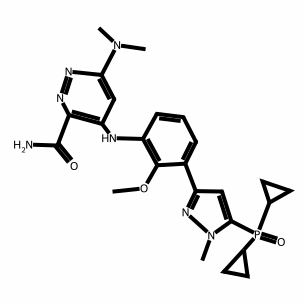 COc1c(Nc2cc(N(C)C)nnc2C(N)=O)cccc1-c1cc(P(=O)(C2CC2)C2CC2)n(C)n1